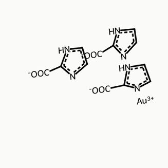 O=C([O-])c1ncc[nH]1.O=C([O-])c1ncc[nH]1.O=C([O-])c1ncc[nH]1.[Au+3]